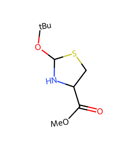 COC(=O)C1CSC(OC(C)(C)C)N1